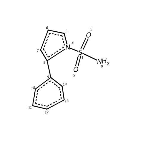 NS(=O)(=O)n1cccc1-c1ccccc1